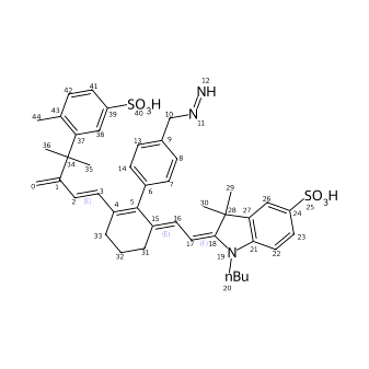 C=C(/C=C/C1=C(c2ccc(CN=N)cc2)C(=C/C=C2/N(CCCC)c3ccc(S(=O)(=O)O)cc3C2(C)C)/CCC1)C(C)(C)c1cc(S(=O)(=O)O)ccc1C